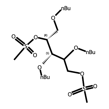 CCCCOC[C@@H](OS(C)(=O)=O)[C@@H](OCCCC)C(COS(C)(=O)=O)OCCCC